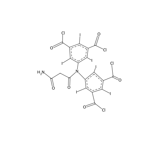 NC(=O)CC(=O)N(c1c(I)c(C(=O)Cl)c(I)c(C(=O)Cl)c1I)c1c(I)c(C(=O)Cl)c(I)c(C(=O)Cl)c1I